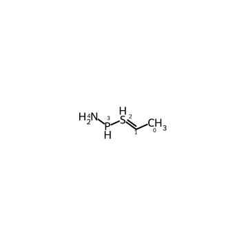 CC=[SH]PN